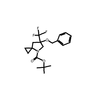 CC(C)(C)OC(=O)N1CC(OCc2ccccc2)(C(F)(F)F)CC12CC2